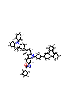 CC1(C)c2ccccc2N(c2ccccc2)c2ccc(-c3ccc4c(c3)c3cc5oc(-c6ccccc6)nc5cc3n4-c3ccc(-c4ccc5c6ccccc6c6ccccc6c5c4)cc3)cc21